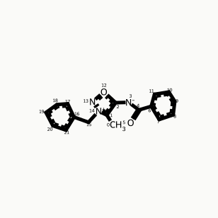 Cc1c([N-]C(=O)c2ccccc2)on[n+]1Cc1ccccc1